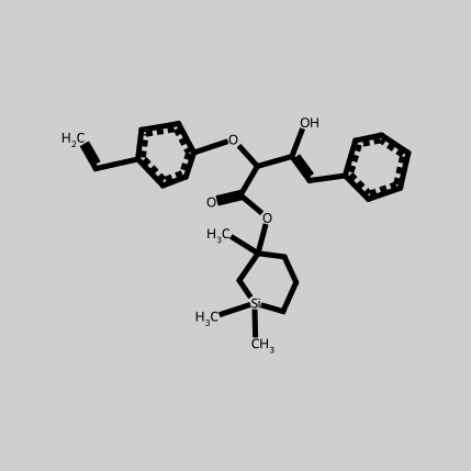 C=Cc1ccc(OC(C(=O)OC2(C)CCC[Si](C)(C)C2)C(O)=Cc2ccccc2)cc1